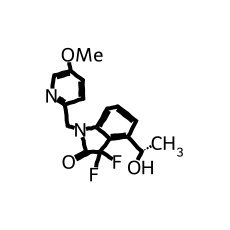 COc1ccc(CN2C(=O)C(F)(F)c3c([C@H](C)O)cccc32)nc1